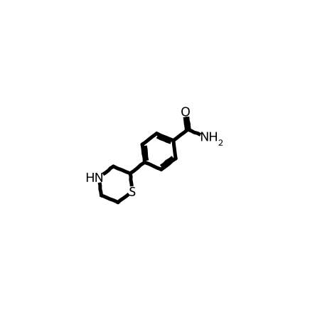 NC(=O)c1ccc(C2CNCCS2)cc1